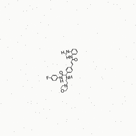 Nc1ccccc1NC(=O)/C=C/c1ccc(C(NCCN2CCOCC2)C(=O)Nc2ccc(F)cc2)cc1